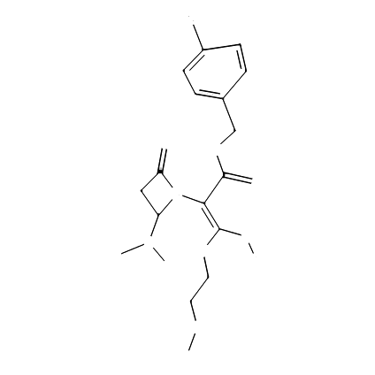 CCOCCS/C(SC(C)=O)=C(/C(=O)OCc1ccc([N+](=O)[O-])cc1)N1C(=O)CC1[S+]([O-])CC